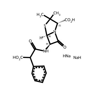 CC1(C)S[C@@H]2[C@H](NC(=O)C(C(=O)O)c3ccccc3)C(=O)N2[C@H]1C(=O)O.[NaH].[NaH]